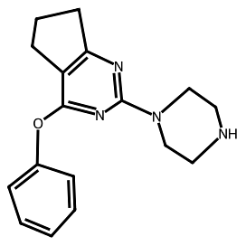 c1ccc(Oc2nc(N3CCNCC3)nc3c2CCC3)cc1